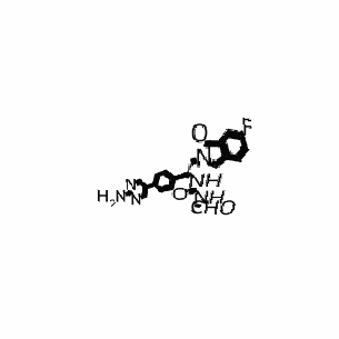 Nc1ncc(-c2ccc([C@H](CN3Cc4ccc(F)cc4C3=O)NC(=O)NC=O)cc2)cn1